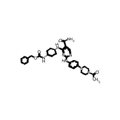 CC(=O)N1CCN(c2ccc(Nc3ncc(C(N)=O)c(N[C@H]4CC[C@@H](NC(=O)OCc5ccccc5)CC4)n3)cc2)CC1